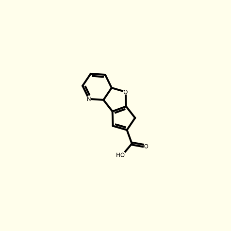 O=C(O)C1=CC2=C(C1)OC1C=CC=NC21